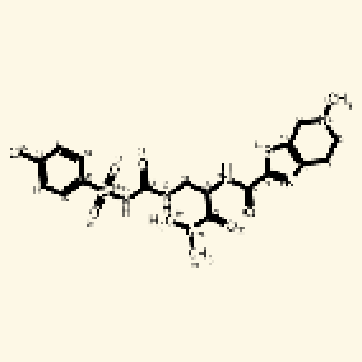 CN1CCc2nc(C(=O)NC(CNC(=O)NS(=O)(=O)c3ccc(Cl)cc3)C(=O)N(C)C)sc2C1